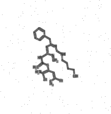 C=N/C(=C\C(Cc1ccccc1)=N/CNCCCCO)NC(=C)SC(/C=C(\C)CC)=C(\N)CC